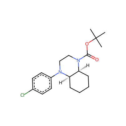 CC(C)(C)OC(=O)N1CCN(c2ccc(Cl)cc2)[C@@H]2CCCC[C@@H]21